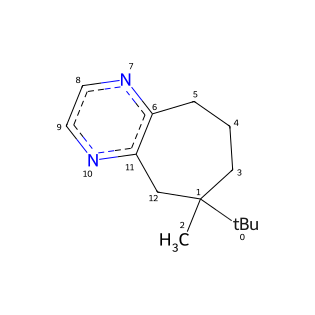 CC(C)(C)C1(C)CCCc2nccnc2C1